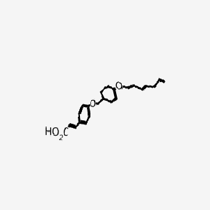 C=CCCCCCOC1CCC(COc2ccc(C=CC(=O)O)cc2)CC1